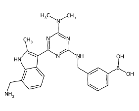 Cc1[nH]c2c(CN)cccc2c1-c1nc(NCc2cccc(B(O)O)c2)nc(N(C)C)n1